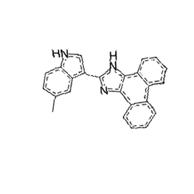 Cc1ccc2[nH]cc(-c3nc4c5ccccc5c5ccccc5c4[nH]3)c2c1